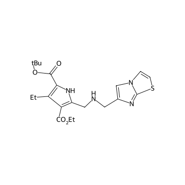 CCOC(=O)c1c(CNCc2cn3ccsc3n2)[nH]c(C(=O)OC(C)(C)C)c1CC